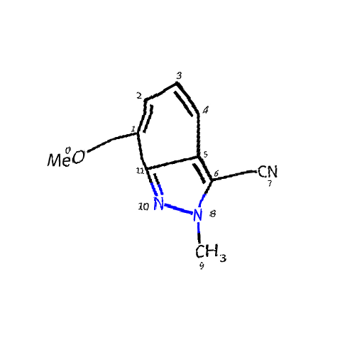 COc1cccc2c(C#N)n(C)nc12